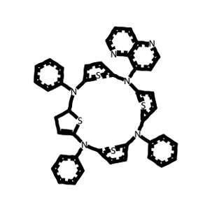 C1=C2SC(C1)N(c1ccccc1)c1ccc(s1)N(c1ccnc3cccnc13)c1ccc(s1)N(c1ccccc1)c1ccc(s1)N2c1ccccc1